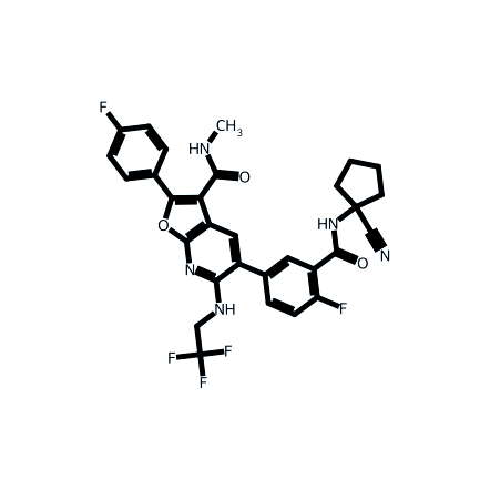 CNC(=O)c1c(-c2ccc(F)cc2)oc2nc(NCC(F)(F)F)c(-c3ccc(F)c(C(=O)NC4(C#N)CCCC4)c3)cc12